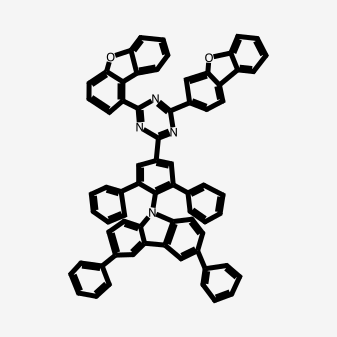 c1ccc(-c2ccc3c(c2)c2cc(-c4ccccc4)ccc2n3-c2c(-c3ccccc3)cc(-c3nc(-c4ccc5c(c4)oc4ccccc45)nc(-c4cccc5oc6ccccc6c45)n3)cc2-c2ccccc2)cc1